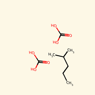 CCCC(C)C.O=C(O)O.O=C(O)O